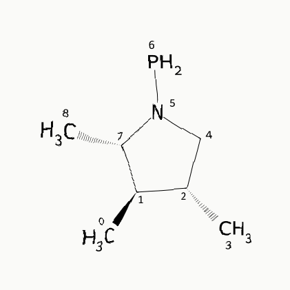 C[C@@H]1[C@@H](C)CN(P)[C@H]1C